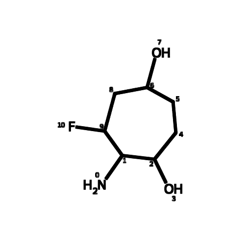 NC1C(O)CCC(O)CC1F